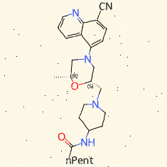 CCCCCC(=O)NC1CCN(C[C@H]2CN(c3ccc(C#N)c4ncccc34)C[C@@H](C)O2)CC1